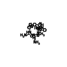 Cc1[nH]c2ccccc2c1C[C@H]1C(=O)NCc2c(-c3cccnc3)ccc(Cl)c2Sc2ncccc2CN[C@@H](CCCN)C(=O)N[C@@H](CCCCN)C(=O)N1C